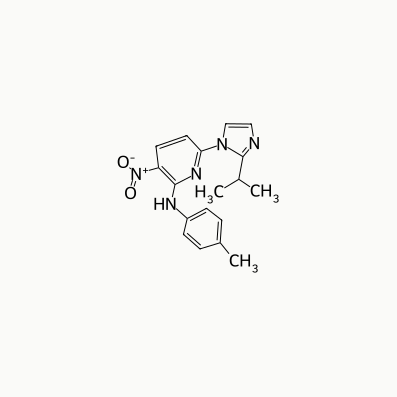 Cc1ccc(Nc2nc(-n3ccnc3C(C)C)ccc2[N+](=O)[O-])cc1